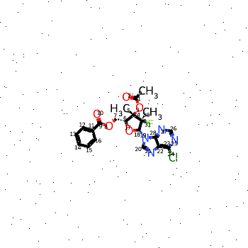 CC(=O)O[C@@]1(C)[C@@H](COC(=O)c2ccccc2)O[C@H](n2cnc3c(Cl)ncnc32)[C@]1(C)F